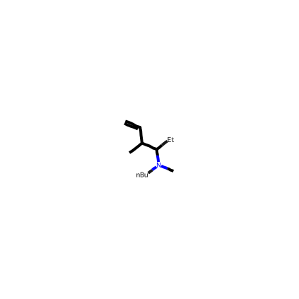 C=CC(C)C(CC)N(C)CCCC